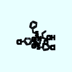 CCC(C(=O)O)N(CP(=O)(Sc1ccc(Cl)cc1)Sc1ccc(Cl)cc1)C(=O)SCc1ccccc1